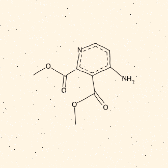 COC(=O)c1nccc(N)c1C(=O)OC